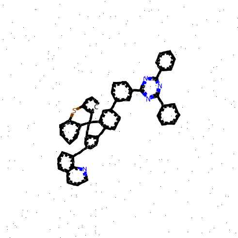 c1ccc(-c2nc(-c3ccccc3)nc(-c3cccc(-c4ccc5c(c4)C4(c6ccccc6Sc6ccccc64)c4cc(-c6cccc7cccnc67)ccc4-5)c3)n2)cc1